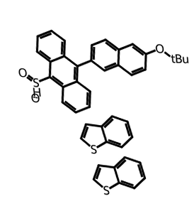 CC(C)(C)Oc1ccc2cc(-c3c4ccccc4c([SH](=O)=O)c4ccccc34)ccc2c1.c1ccc2sccc2c1.c1ccc2sccc2c1